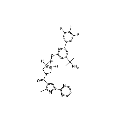 Cc1nn(-c2ncccn2)cc1C(=O)N1C[C@@H]2[C@H](C1)[C@@H]2Oc1cc(C(C)(C)N)cc(-c2cc(F)c(F)c(F)c2)n1